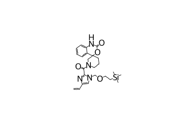 C=Cc1cn(COCC[Si](C)(C)C)c(C(=O)N2CCCC3(C2)OC(=O)Nc2ccccc23)n1